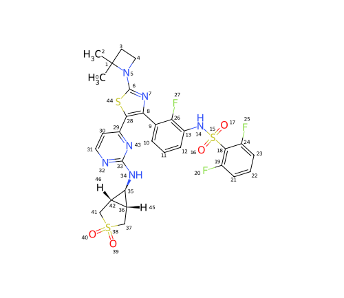 CC1(C)CCN1c1nc(-c2cccc(NS(=O)(=O)c3c(F)cccc3F)c2F)c(-c2ccnc(N[C@H]3[C@@H]4CS(=O)(=O)C[C@@H]43)n2)s1